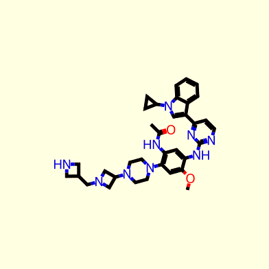 COc1cc(N2CCN(C3CN(CC4CNC4)C3)CC2)c(NC(C)=O)cc1Nc1nccc(-c2cn(C3CC3)c3ccccc23)n1